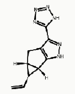 C=C[C@H]1[C@@H]2Cc3c(-c4nnn[nH]4)n[nH]c3[C@H]12